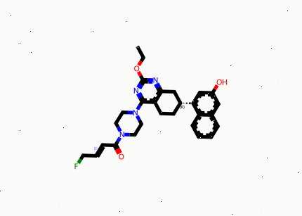 CCOc1nc2c(c(N3CCN(C(=O)/C=C/CF)CC3)n1)CC[C@@H](c1cc(O)cc3ccccc13)C2